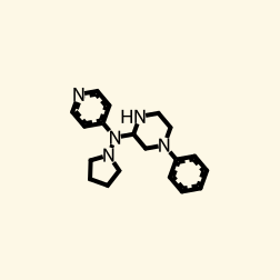 c1ccc(N2CCNC(N(c3ccncc3)N3CCCC3)C2)cc1